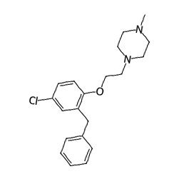 CN1CCN(CCOc2ccc(Cl)cc2Cc2ccccc2)CC1